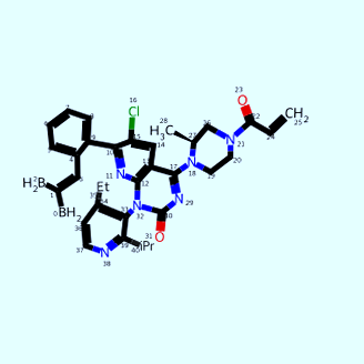 BC(B)=Cc1ccccc1-c1nc2c(cc1Cl)c(N1CCN(C(=O)C=C)C[C@@H]1C)nc(=O)n2-c1c(CC)ccnc1C(C)C